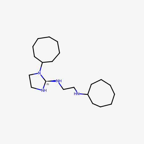 C1CCCC(NCCN[C@H]2NCCN2C2CCCCCCC2)CCC1